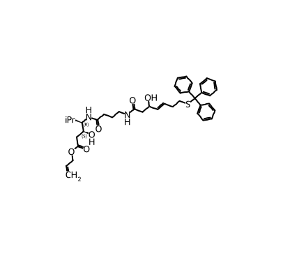 C=CCOC(=O)C[C@H](O)[C@H](NC(=O)CCCNC(=O)CC(O)C=CCCSC(c1ccccc1)(c1ccccc1)c1ccccc1)C(C)C